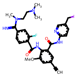 C#Cc1cc(OC)c(NC(=O)c2ccc(C(=N)N(C)CCN(C)C)cc2F)c(C(=O)Nc2ccc(CI)cn2)c1